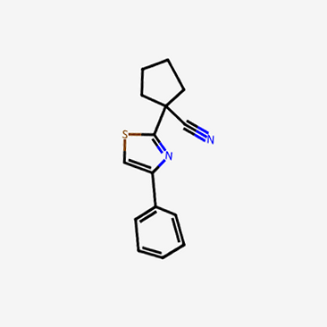 N#CC1(c2nc(-c3ccccc3)cs2)CCCC1